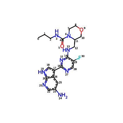 CCCNC(=O)N1CCOCC1CNc1nc(-c2c[nH]c3ncc(N)cc23)ncc1F